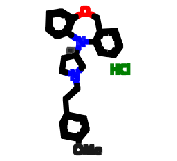 COc1ccc(CCN2CC[C@@H](N3c4ccccc4COc4ccccc43)C2)cc1.Cl